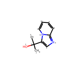 CCC(C)(O)c1cnc2ccccn12